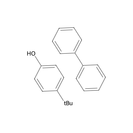 CC(C)(C)c1ccc(O)cc1.c1ccc(-c2ccccc2)cc1